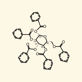 O=C(OC[C@H]1O[C@@H](OC(=O)c2ccccc2)[C@@H](OC(=O)c2ccccc2)[C@@H](OC(=O)c2ccccc2)[C@@H]1OC(=O)c1ccccc1)c1ccccc1